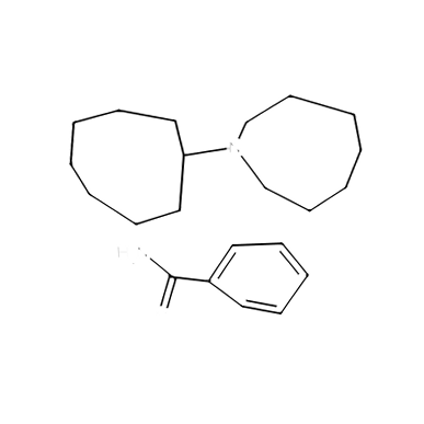 C1CCCC(N2CCCCCCC2)CCC1.NC(=O)c1ccccc1